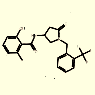 Cc1cccc(O)c1C(=O)NC1CC(=O)N(Cc2ccccc2C(F)(F)F)C1